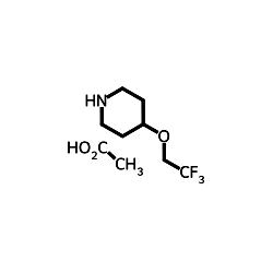 CC(=O)O.FC(F)(F)COC1CCNCC1